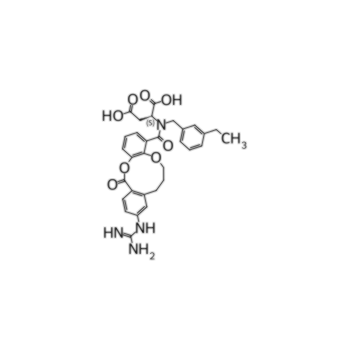 CCc1cccc(CN(C(=O)c2cccc3c2OCCCc2cc(NC(=N)N)ccc2C(=O)O3)[C@@H](CC(=O)O)C(=O)O)c1